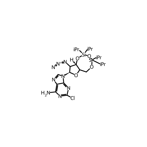 CC(C)[Si]1(C(C)C)OCC2O[C@@H](n3cnc4c(N)nc(Cl)nc43)C(N=[N+]=[N-])[C@@H]2O[Si](C(C)C)(C(C)C)O1